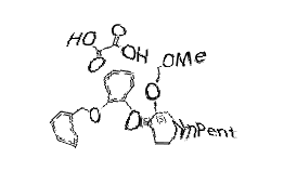 CCCCCN1CC[C@H](Oc2ccccc2OCc2ccccc2)[C@@H](OCCOC)C1.O=C(O)C(=O)O